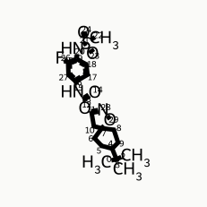 CC(C)(C)C1CCC2(CC1)CC(OC(=O)Nc1ccc(NS(C)(=O)=O)c(F)c1)=NO2